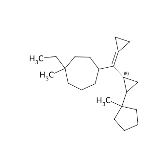 CCC1(C)CCCC(C(=C2CC2)[C@@H]2CC2C2(C)CCCC2)CC1